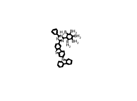 Bc1c(B)c(B)c(-c2nc(-c3ccccc3)nc(-c3ccc4sc5cc(-n6c7ccccc7c7ccccc76)ccc5c4c3)n2)c(B)c1B